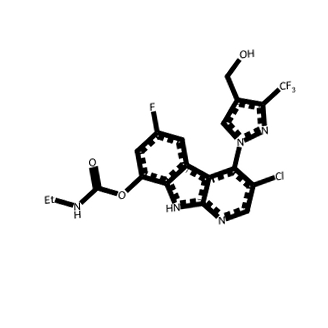 CCNC(=O)Oc1cc(F)cc2c1[nH]c1ncc(Cl)c(-n3cc(CO)c(C(F)(F)F)n3)c12